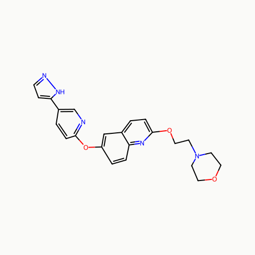 c1cc(-c2ccc(Oc3ccc4nc(OCCN5CCOCC5)ccc4c3)nc2)[nH]n1